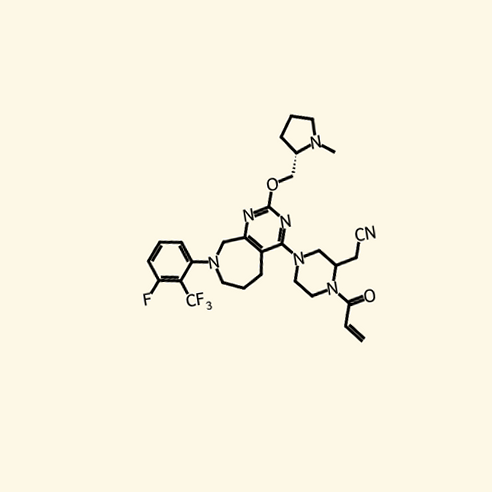 C=CC(=O)N1CCN(c2nc(OC[C@@H]3CCCN3C)nc3c2CCCN(c2cccc(F)c2C(F)(F)F)C3)CC1CC#N